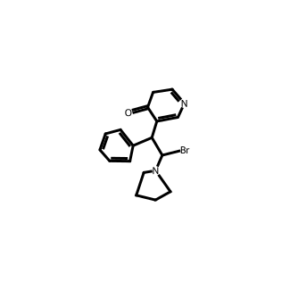 O=C1CC=NC=C1C(c1ccccc1)C(Br)N1CCCC1